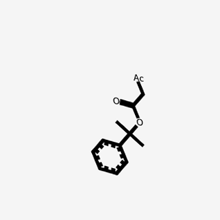 CC(=O)CC(=O)OC(C)(C)c1ccccc1